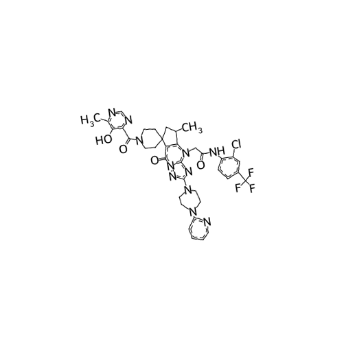 Cc1ncnc(C(=O)N2CCC3(CC2)CC(C)c2c3c(=O)n3nc(N4CCN(c5ccccn5)CC4)nc3n2CC(=O)Nc2ccc(C(F)(F)F)cc2Cl)c1O